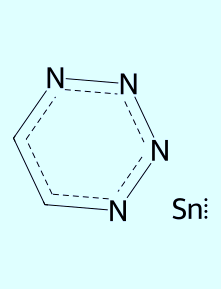 [Sn].c1cnnnn1